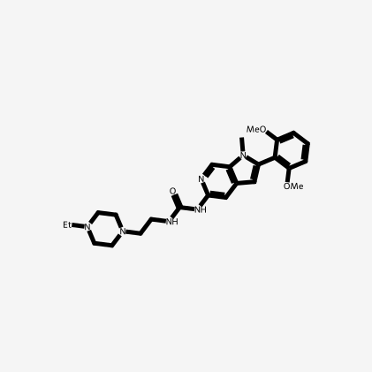 CCN1CCN(CCNC(=O)Nc2cc3cc(-c4c(OC)cccc4OC)n(C)c3cn2)CC1